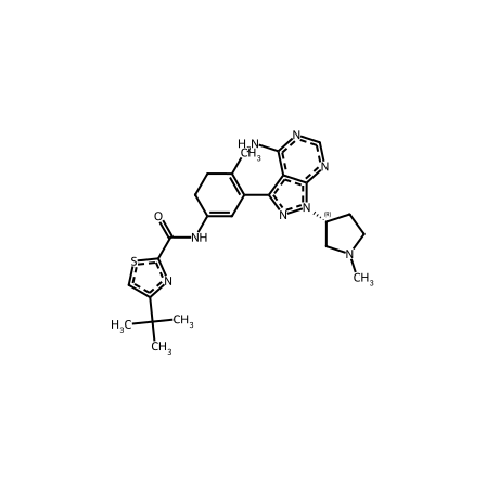 CC1=C(c2nn([C@@H]3CCN(C)C3)c3ncnc(N)c23)C=C(NC(=O)c2nc(C(C)(C)C)cs2)CC1